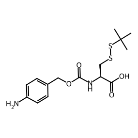 CC(C)(C)SSC[C@H](NC(=O)OCc1ccc(N)cc1)C(=O)O